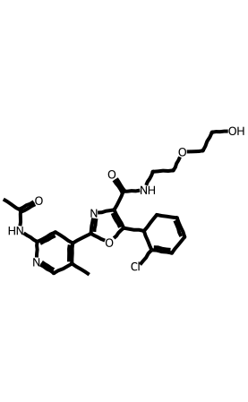 CC(=O)Nc1cc(-c2nc(C(=O)NCCOCCO)c(C3CC=CC=C3Cl)o2)c(C)cn1